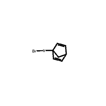 [Br][Ir][C]12C=CC(C=C1)C2